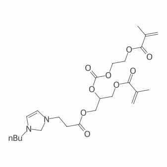 C=C(C)C(=O)OCCOC(=O)OC(COC(=O)CCN1C=CN(CCCC)C1)COC(=O)C(=C)C